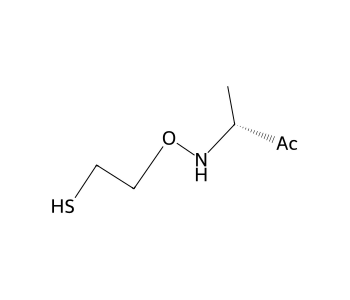 CC(=O)[C@@H](C)NOCCS